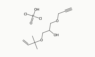 C#CCOCC(O)COC(C)(C)C=C.O=P(O)(Cl)Cl